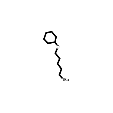 [CH2]C(C)(C)CCCCCOC1CCCCC1